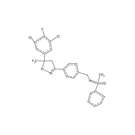 CS(=O)(=NCc1ccc(C2=NOC(c3cc(Cl)c(F)c(Cl)c3)(C(F)(F)F)C2)cc1)c1ccccc1